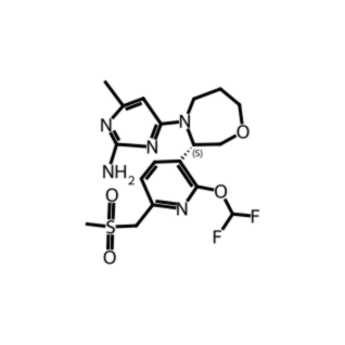 Cc1cc(N2CCCOC[C@@H]2c2ccc(CS(C)(=O)=O)nc2OC(F)F)nc(N)n1